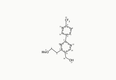 COCCc1nc(-c2ccc(C(F)(F)F)nc2)ncc1CO